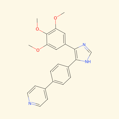 COc1cc(-c2nc[nH]c2-c2ccc(-c3ccncc3)cc2)cc(OC)c1OC